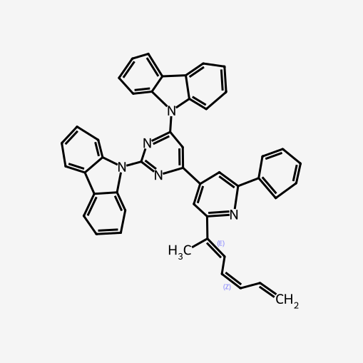 C=C/C=C\C=C(/C)c1cc(-c2cc(-n3c4ccccc4c4ccccc43)nc(-n3c4ccccc4c4ccccc43)n2)cc(-c2ccccc2)n1